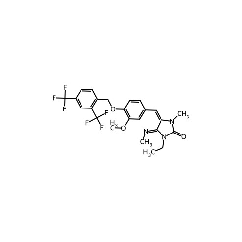 CCN1C(=O)N(C)C(=Cc2ccc(OCc3ccc(C(F)(F)F)cc3C(F)(F)F)c(OC)c2)C1=NC